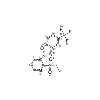 CCS(=O)(=O)c1ncccc1-c1nc2cc(C(C)(F)F)ccc2o1